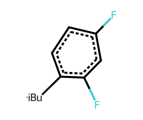 CC[C](C)c1ccc(F)cc1F